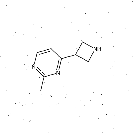 Cc1nccc(C2CNC2)n1